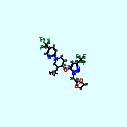 C[C@H]1CN(c2ccc(C(F)(F)F)cn2)CC[C@@H]1Oc1cc(C(F)(F)F)nn1CC1OCCO1